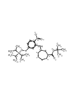 CC(C)[Si](OCc1ccc([N+](=O)[O-])c(N[C@@H]2CCCCN(C(=O)OC(C)(C)C)C2)c1)(C(C)C)C(C)C